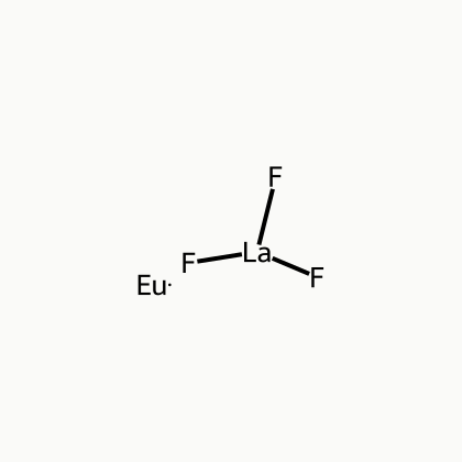 [Eu].[F][La]([F])[F]